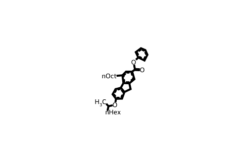 CCCCCCCCc1cc(C(=O)Oc2ccccc2)cc2c1-c1ccc(OC(C)CCCCCC)cc1C2